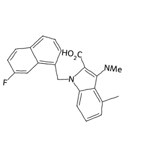 CNc1c(C(=O)O)n(Cc2cccc3ccc(F)cc23)c2cccc(C)c12